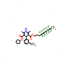 CC1=C(C(=O)OCCCC(F)(F)C(F)(F)C(F)(F)C(F)(F)C(F)(F)C(F)(F)F)C(c2cccc([N+](=O)[O-])c2)C(C(=O)OC2CCCC2)=C(C)N1